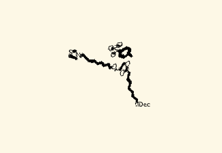 CCCCCCCCCCCCCCCCC[C@@H]1OC[C@@H](COCCCCCCCC[n+]2ccsc2)O1.Cc1ccc(S(=O)(=O)[O-])cc1